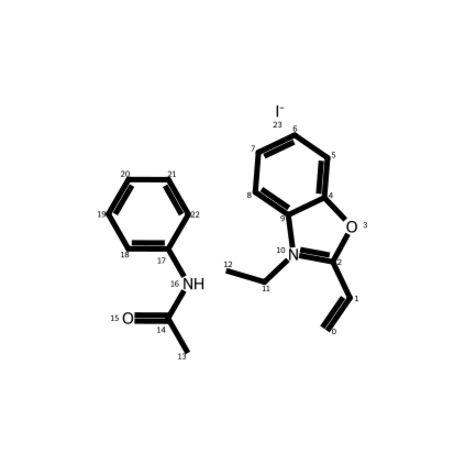 C=Cc1oc2ccccc2[n+]1CC.CC(=O)Nc1ccccc1.[I-]